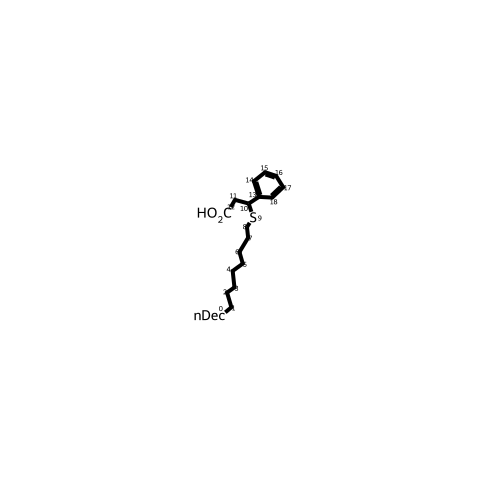 CCCCCCCCCCCCCCCCCCSC(CC(=O)O)c1ccccc1